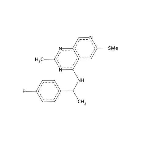 CSc1cc2c(NC(C)c3ccc(F)cc3)nc(C)nc2cn1